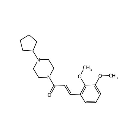 COc1cccc(C=CC(=O)N2CCN(C3CCCC3)CC2)c1OC